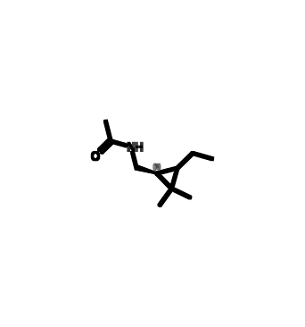 CCC1[C@H](CNC(C)=O)C1(C)C